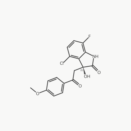 COc1ccc(C(=O)C[C@@]2(O)C(=O)Nc3c(F)ccc(Cl)c32)cc1